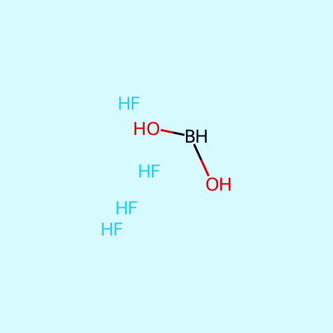 F.F.F.F.OBO